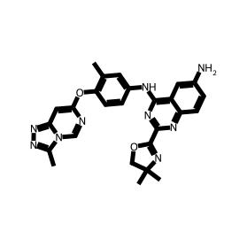 Cc1cc(Nc2nc(C3=NC(C)(C)CO3)nc3ccc(N)cc23)ccc1Oc1cc2nnc(C)n2cn1